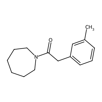 Cc1cccc(CC(=O)N2CCCCCC2)c1